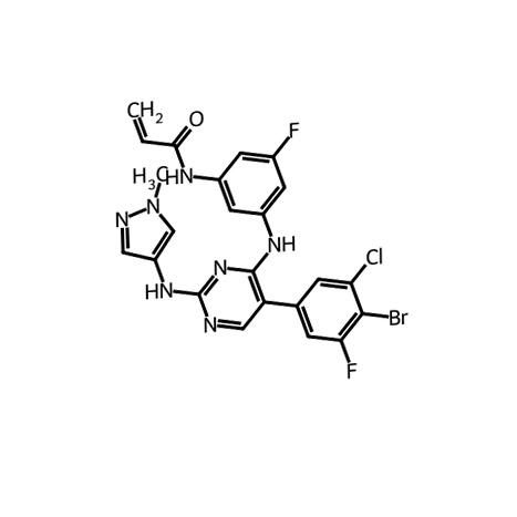 C=CC(=O)Nc1cc(F)cc(Nc2nc(Nc3cnn(C)c3)ncc2-c2cc(F)c(Br)c(Cl)c2)c1